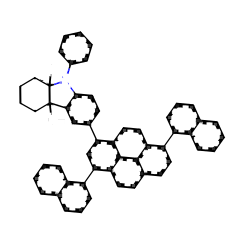 CC12CCCCC1(C)N(c1ccccc1)c1ccc(-c3cc(-c4cccc5ccccc45)c4ccc5ccc(-c6cccc7ccccc67)c6ccc3c4c56)cc12